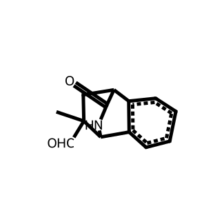 CC1(C=O)CC2C(=O)NC1c1ccccc12